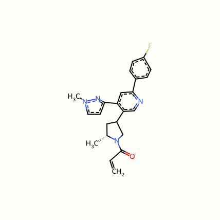 C=CC(=O)N1CC(c2cnc(-c3ccc(F)cc3)cc2-c2ccn(C)n2)C[C@H]1C